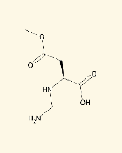 COC(=O)C[C@H](NCN)C(=O)O